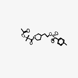 CC(=O)OC(C)(C)C(=O)N1CCC(CCOS(=O)(=O)c2ccc(C)cc2)CC1